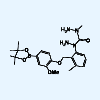 COc1cc(B2OC(C)(C)C(C)(C)O2)ccc1OCc1c(C)cccc1N(N)C(=O)N(C)N